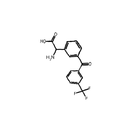 NC(C(=O)O)c1cccc(C(=O)c2cccc(C(F)(F)F)c2)c1